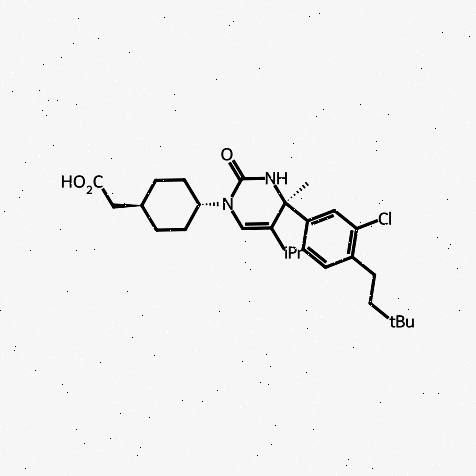 CC(C)C1=CN([C@H]2CC[C@H](CC(=O)O)CC2)C(=O)N[C@@]1(C)c1ccc(CCC(C)(C)C)c(Cl)c1